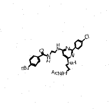 CCCCc1ccc(C(=O)NCCNc2cc(NCCNC(C)=O)nc(-c3ccc(Cl)cc3)n2)cc1